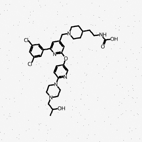 CC(O)CN1CCN(c2ccc(Oc3cc(CN4CCC(CCNC(=O)O)CC4)cc(-c4cc(Cl)cc(Cl)c4)n3)cn2)CC1